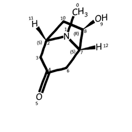 CN1[C@@H]2CC(=O)C[C@H]1[C@H](O)C2